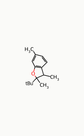 Cc1ccc2c(c1)OC(C)(C(C)(C)C)C2C